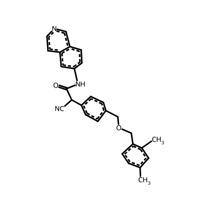 Cc1ccc(COCc2ccc(C(C#N)C(=O)Nc3ccc4cnccc4c3)cc2)c(C)c1